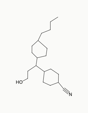 CCCCC1CCC(C(CCO)C2CCC(C#N)CC2)CC1